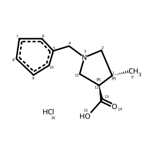 C[C@H]1CN(Cc2ccccc2)C[C@@H]1C(=O)O.Cl